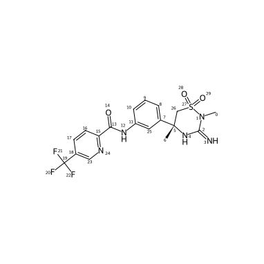 CN1C(=N)N[C@](C)(c2cccc(NC(=O)c3ccc(C(F)(F)F)cn3)c2)CS1(=O)=O